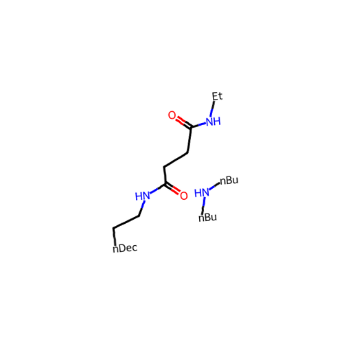 CCCCCCCCCCCCNC(=O)CCC(=O)NCC.CCCCNCCCC